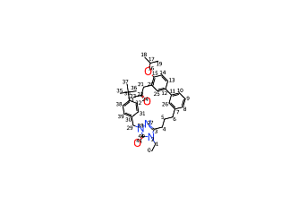 CCn1c(CCCc2cccc(-c3ccc(OC(C)C)c(CC(C)=O)c3)c2)nn(Cc2ccc(C(C)(C)C)cc2)c1=O